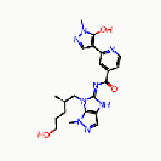 C[C@H](CCCO)Cn1/c(=N/C(=O)c2ccnc(-c3cnn(C)c3O)c2)[nH]c2cnn(C)c21